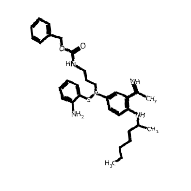 CCCCCC(C)Nc1ccc(N(CCCNC(=O)OCc2ccccc2)Sc2ccccc2N)cc1C(C)=N